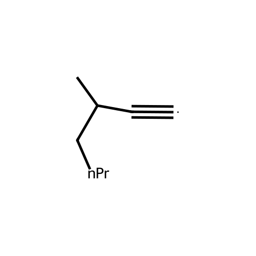 [C]#CC(C)CCCC